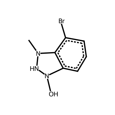 CN1NN(O)c2cccc(Br)c21